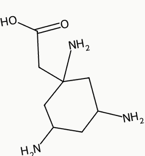 NC1CC(N)CC(N)(CC(=O)O)C1